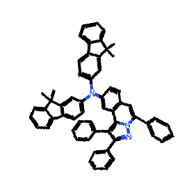 CC1(C)c2ccccc2-c2ccc(N(c3ccc4c(c3)C(C)(C)c3ccccc3-4)c3ccc4cc(-c5ccccc5)n5nc(-c6ccccc6)c(-c6ccccc6)c5c4c3)cc21